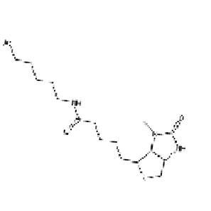 CC(=O)CCCCCNC(=O)CCCCC1SCC2NC(=O)N(C)C21